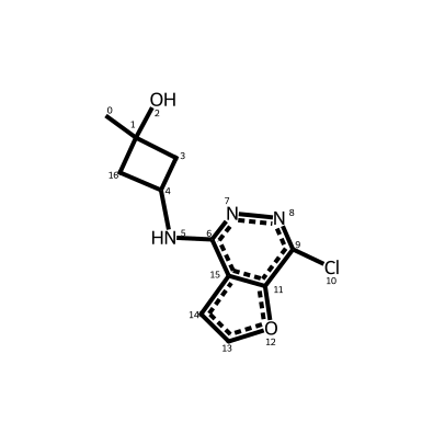 CC1(O)CC(Nc2nnc(Cl)c3occc23)C1